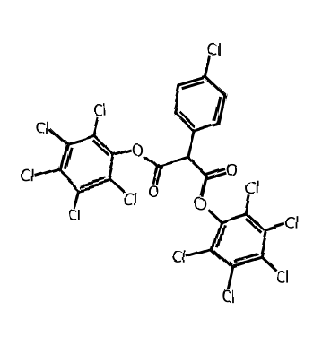 O=C(Oc1c(Cl)c(Cl)c(Cl)c(Cl)c1Cl)C(C(=O)Oc1c(Cl)c(Cl)c(Cl)c(Cl)c1Cl)c1ccc(Cl)cc1